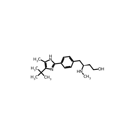 CN[C@H](CCO)Cc1ccc(-c2nc(C(C)(C)C)c(C)[nH]2)cc1